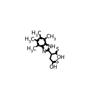 Cc1c(C)c(C)c2[nH]c(C(CC(O)=S)C(O)=S)nc2c1C